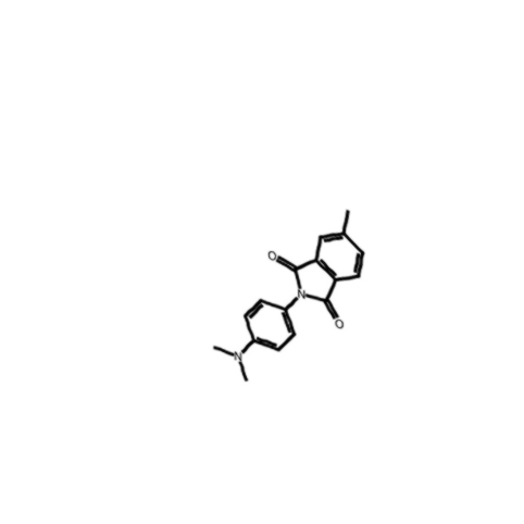 Cc1ccc2c(c1)C(=O)N(c1ccc(N(C)C)cc1)C2=O